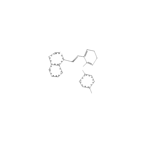 Clc1ccc(OC2=CCCC=C2C=Cc2nccc3ccccc23)cc1